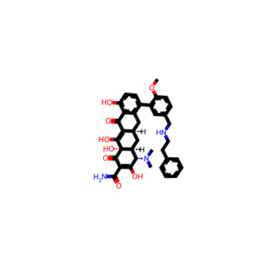 COc1ccc(CNCCc2ccccc2)cc1-c1ccc(O)c2c1C[C@H]1C[C@H]3[C@H](N(C)C)C(O)=C(C(N)=O)C(=O)[C@@]3(O)C(O)=C1C2=O